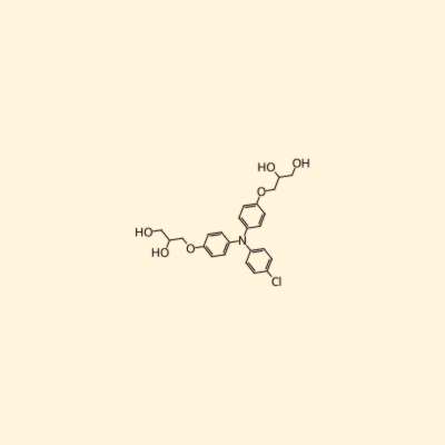 OCC(O)COc1ccc(N(c2ccc(Cl)cc2)c2ccc(OCC(O)CO)cc2)cc1